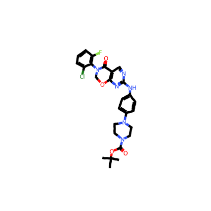 CC(C)(C)OC(=O)N1CCN(c2ccc(Nc3ncc4c(n3)OCN(c3c(F)cccc3Cl)C4=O)cc2)CC1